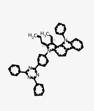 C=C/C=c1\c(=C/C)c2c(ccc3c4ccccc4n(-c4ccccc4)c32)n1-c1ccc(-c2nc(-c3ccccc3)nc(-c3ccccc3)n2)cc1